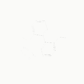 COc1ccccc1-c1ccccc1OC.N=C=O.N=C=O